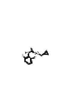 CC(=NOCC1CC1)Nc1c(F)cccc1Cl